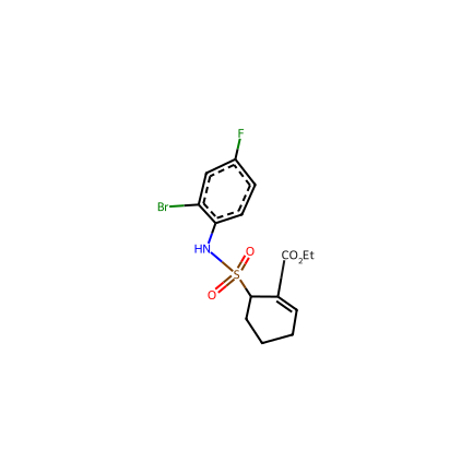 CCOC(=O)C1=CCCCC1S(=O)(=O)Nc1ccc(F)cc1Br